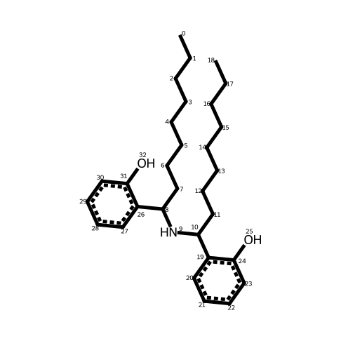 CCCCCCCCC(NC(CCCCCCCC)c1ccccc1O)c1ccccc1O